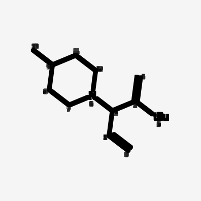 C=CC(C(=C)C(C)(C)C)N1CCC(C)CC1